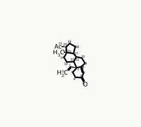 C=C[C@]12CCC(=O)C=C1CCC1C2CC[C@@]2(C)C1CC[C@@H]2C(C)=O